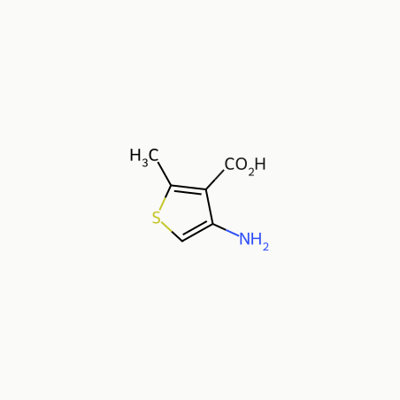 Cc1scc(N)c1C(=O)O